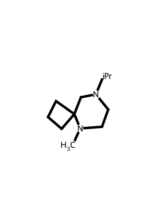 CC(C)N1CCN(C)C2(CCC2)C1